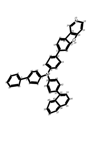 c1ccc(-c2ccc(N(c3ccc(-c4ccc5c(c4)oc4ccncc45)cc3)c3ccc(-c4cccc5ccccc45)cc3)cc2)cc1